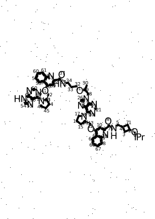 CC(C)OC1CC(CNC(=O)c2cc(OC[C@H]3CCCN3c3ncnc4c3ncn4CC(C)OCCCNC(=O)c3cc(OC[C@H]4CCCN4c4ncnc5[nH]cnc45)c4ccccc4n3)c3ccccc3n2)C1